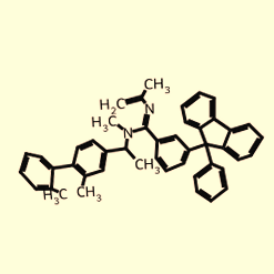 C=C(C)/N=C(/c1cccc(C2(c3ccccc3)c3ccccc3-c3ccccc32)c1)N(C)C(C)c1ccc(-c2ccccc2C)c(C)c1